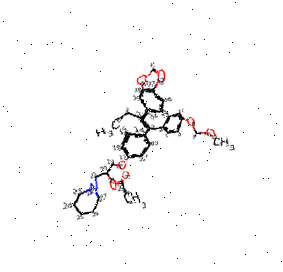 CCC(=C(c1ccc(OCOC)cc1)c1ccc(OCC(CN2CCCCC2)OC(C)=O)cc1)c1ccc2c(c1)OCO2